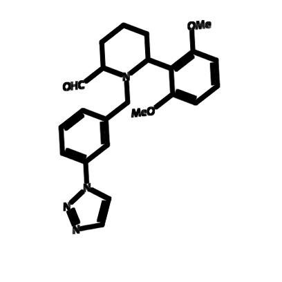 COc1cccc(OC)c1C1CCCC(C=O)N1Cc1cccc(-n2ccnn2)c1